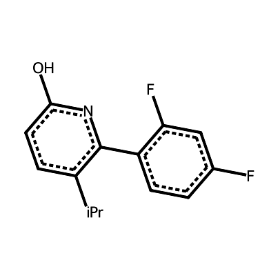 CC(C)c1ccc(O)nc1-c1ccc(F)cc1F